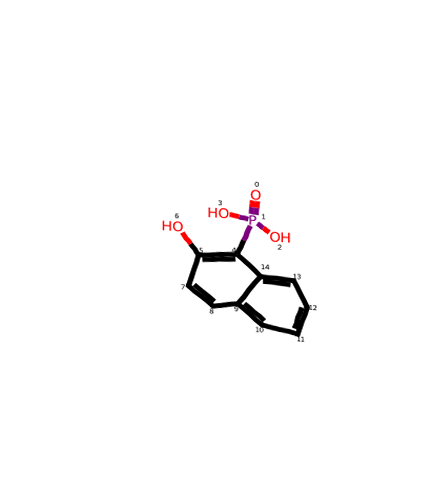 O=P(O)(O)c1c(O)ccc2ccccc12